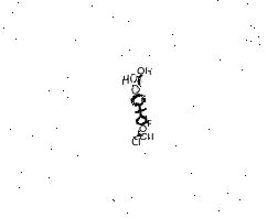 CC(C)(c1ccc(OC[C@@H](O)CO)cc1)c1ccc(OC[C@H](O)CCl)c(F)c1